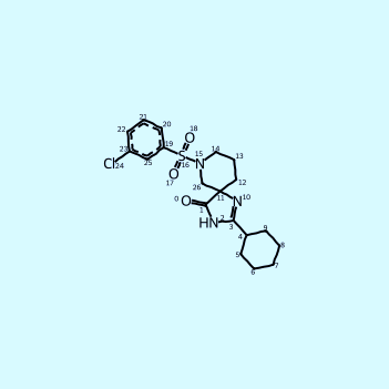 O=C1NC(C2CCCCC2)=NC12CCCN(S(=O)(=O)c1cccc(Cl)c1)C2